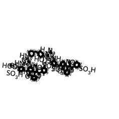 Cn1c(=O)c(C(=O)c2cccc(S(=O)(=O)O)c2)c2c3c(c(Nc4cc(Nc5nc(N)nc(NC6CCC(CC7CCC(Nc8nc(N)nc(Nc9cc(Nc%10ccc%11c%12c%10C(=O)c%10ccccc%10-c%12c(C(=O)c%10cccc(S(=O)(=O)O)c%10)c(=O)n%11C)c(S(=O)(=O)O)cc9S(=O)(=O)O)n8)CC7)CC6)n5)c(SOOO)cc4S(=O)(=O)O)ccc31)C(=O)c1ccccc1-2